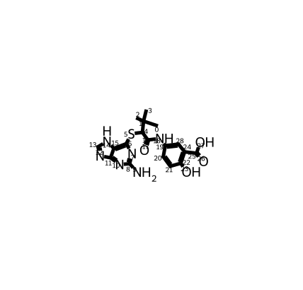 CC(C)(C)C(Sc1nc(N)nc2nc[nH]c12)C(=O)Nc1ccc(O)c(C(=O)O)c1